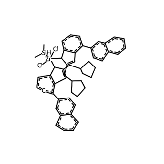 C[SiH](C)[Zr]([Cl])([Cl])([CH]1C(CC2CCCC2)=Cc2c(-c3ccc4ccccc4c3)cccc21)[CH]1C(CC2CCCC2)=Cc2c(-c3ccc4ccccc4c3)cccc21